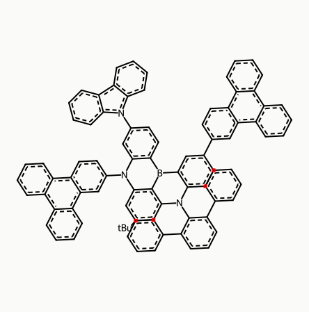 CC(C)(C)c1cc2c3c(c1)N(c1c(-c4ccccc4)cccc1-c1ccccc1)c1ccc(-c4ccc5c6ccccc6c6ccccc6c5c4)cc1B3c1ccc(-n3c4ccccc4c4ccccc43)cc1N2c1ccc2c3ccccc3c3ccccc3c2c1